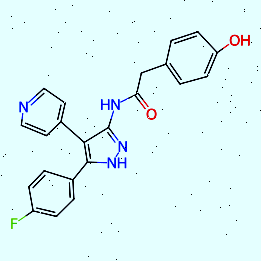 O=C(Cc1ccc(O)cc1)Nc1n[nH]c(-c2ccc(F)cc2)c1-c1ccncc1